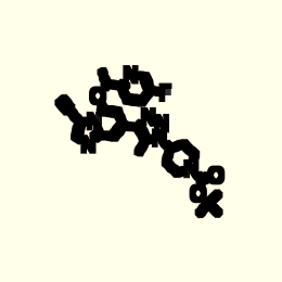 C#Cc1cnc2cc(-c3nnn(C4CCN(C(=O)OC(C)(C)C)CC4)c3C)cc(OC(C)c3ccc(F)cn3)n12